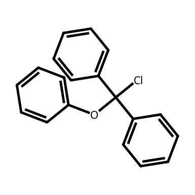 ClC(Oc1ccccc1)(c1ccccc1)c1ccccc1